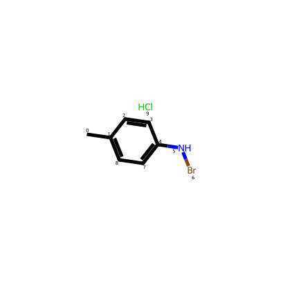 Cc1ccc(NBr)cc1.Cl